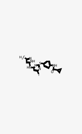 Cc1cc(Nc2cc(I)nc(Sc3ccc(NC(=O)C4CC4)cc3)n2)[nH]n1